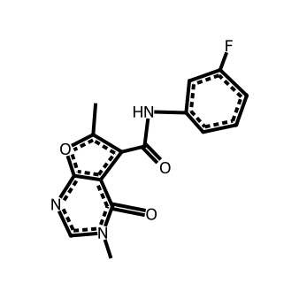 Cc1oc2ncn(C)c(=O)c2c1C(=O)Nc1cccc(F)c1